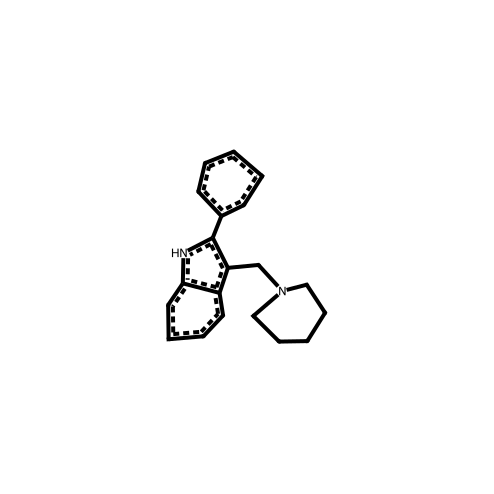 c1ccc(-c2[nH]c3ccccc3c2CN2CCCCC2)cc1